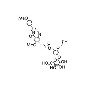 C#CCOc1cc(O[C@@H]2O[C@H](C(=O)O)[C@@H](O)[C@H](O)[C@H]2O)ccc1COC(=O)NCCc1cc2c(cc1OC)C(=O)N1C=C(c3ccc(OC)cc3)CC1C=N2